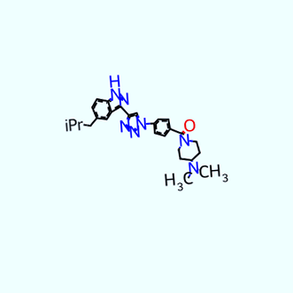 CC(C)Cc1ccc2[nH]nc(-c3cn(-c4ccc(C(=O)N5CCC(N(C)C)CC5)cc4)nn3)c2c1